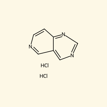 Cl.Cl.c1cc2ncncc2cn1